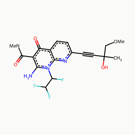 CNC(=O)c1c(N)n(C(F)C(F)F)c2nc(C#CC(C)(O)COC)ccc2c1=O